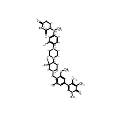 COc1cc(-c2cn(C)c(=O)c(C)c2C)cc(Cl)c1CN1CCC(N2CCN(c3ccc(N(C)C4CCC(=O)NC4=O)cc3F)CC2)C(F)(F)C1